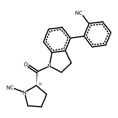 N#Cc1ccccc1-c1cccc2c1CCN2C(=O)[C@@H]1CCCN1C#N